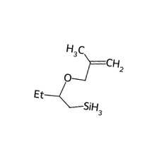 C=C(C)COC(CC)C[SiH3]